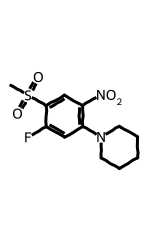 CS(=O)(=O)c1cc([N+](=O)[O-])c(N2CCCCC2)cc1F